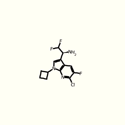 N[C@@H](c1cn(C2CCC2)c2nc(Cl)c(F)cc12)C(F)F